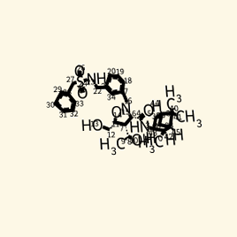 C[C@@H]1[C@@H](NC(=O)[C@@H]2[C@H]([C@H](C)O)[C@H](CO)ON2Cc2cccc(CNS(=O)(=O)Cc3ccccc3)c2)C[C@H]2C[C@@H]1C2(C)C